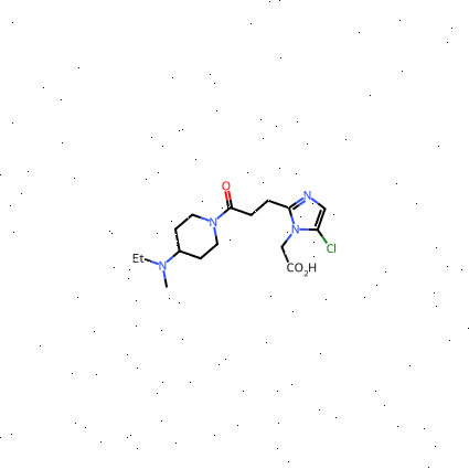 CCN(C)C1CCN(C(=O)CCc2ncc(Cl)n2CC(=O)O)CC1